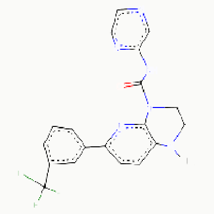 CN1CCN(C(=O)Nc2cnccn2)c2nc(-c3cccc(C(F)(F)F)c3)ccc21